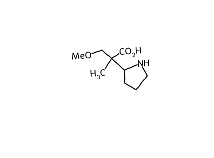 COCC(C)(C(=O)O)C1CCCN1